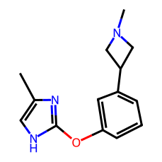 Cc1c[nH]c(Oc2cccc(C3CN(C)C3)c2)n1